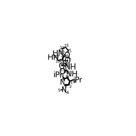 CC(C)c1cc(N(C)C)nc(C(C)C)c1NC(=O)NS(=O)(=O)/C(C=N)=C1/NCCCO1